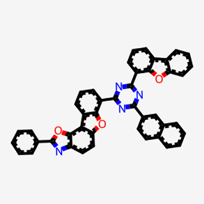 c1ccc(-c2nc3ccc4oc5c(-c6nc(-c7ccc8ccccc8c7)nc(-c7cccc8c7oc7ccccc78)n6)cccc5c4c3o2)cc1